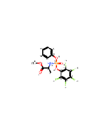 CCC(C)OC(=O)C(C)N[P@](=O)(Oc1ccccc1)Oc1c(F)c(F)c(F)c(F)c1F